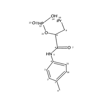 Cc1ccc(NC(=O)C(CC(C)C)O[PH](=O)O)cc1